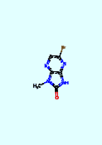 Cn1c(=O)[nH]c2nc(Br)cnc21